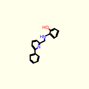 Oc1ccccc1NCc1cccc(-c2ccccc2)n1